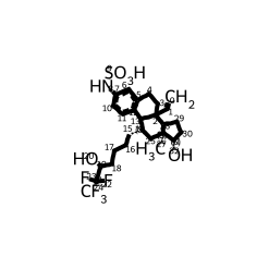 C=CC12CCc3cc(NS(=O)(=O)O)ccc3C1[C@@H](CCCCC(O)C(F)(F)C(F)(F)F)C[C@@]1(C)C2CC[C@@H]1O